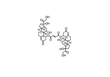 C[C@]12C[C@H](O)[C@H]3[C@@H](CCC4=CC(=O)CC(OC(=O)C=CC(=O)OC5CC(=O)C=C6CC[C@@H]7[C@H]([C@@H](O)C[C@@]8(C)[C@H]7CC[C@]8(O)C(=O)CO)[C@]65C)[C@@]43C)[C@@H]1CC[C@]2(O)C(=O)CO